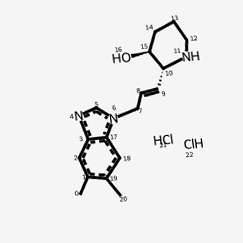 Cc1cc2ncn(C/C=C/[C@H]3NCCC[C@@H]3O)c2cc1C.Cl.Cl